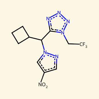 O=[N+]([O-])c1cnn(C(c2nnnn2CC(F)(F)F)C2CCC2)c1